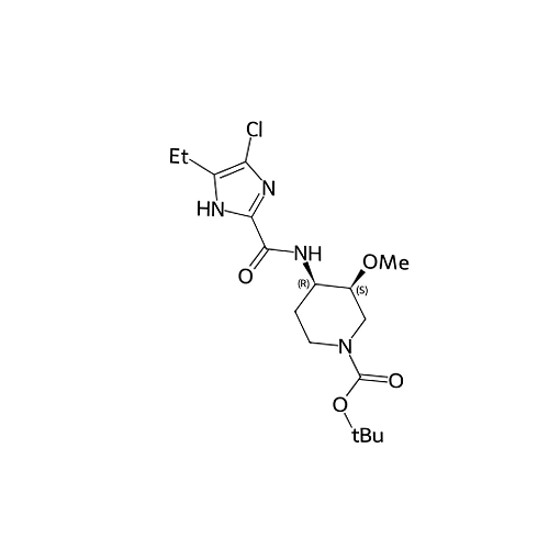 CCc1[nH]c(C(=O)N[C@@H]2CCN(C(=O)OC(C)(C)C)C[C@@H]2OC)nc1Cl